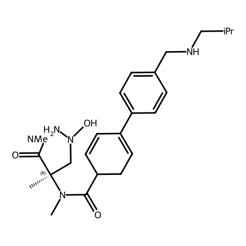 CNC(=O)[C@@](C)(CN(N)O)N(C)C(=O)C1C=CC(c2ccc(CNCC(C)C)cc2)=CC1